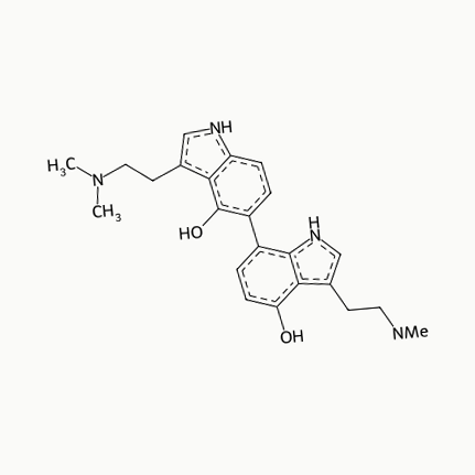 CNCCc1c[nH]c2c(-c3ccc4[nH]cc(CCN(C)C)c4c3O)ccc(O)c12